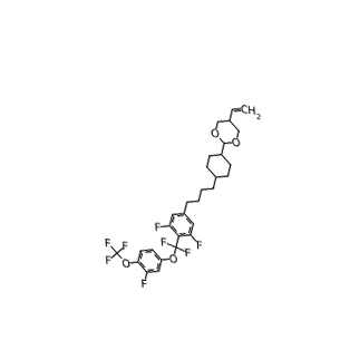 C=CC1COC(C2CCC(CCCCc3cc(F)c(C(F)(F)Oc4ccc(OC(F)(F)F)c(F)c4)c(F)c3)CC2)OC1